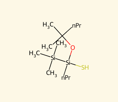 CCCC(C)(C)O[Si](S)(CCC)[Si](C)(C)C